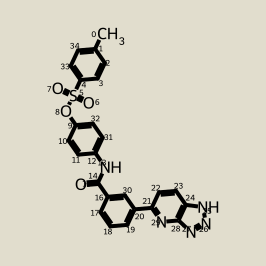 Cc1ccc(S(=O)(=O)Oc2ccc(NC(=O)c3cccc(-c4ccc5[nH]nnc5n4)c3)cc2)cc1